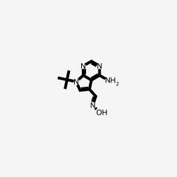 CC(C)(C)n1cc(C=NO)c2c(N)ncnc21